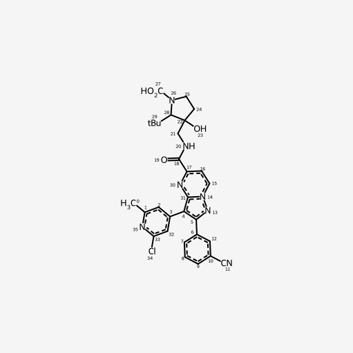 Cc1cc(-c2c(-c3cccc(C#N)c3)nn3ccc(C(=O)NCC4(O)CCN(C(=O)O)C4C(C)(C)C)nc23)cc(Cl)n1